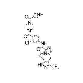 O=C(Nc1ccc(C(=O)N2CCN(C(=O)C3CNC3)CC2)c(Cl)c1)c1ncc(Cc2c(C(F)(F)F)n[nH]c2C2CC2)[nH]1